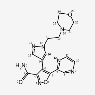 NC(=O)c1noc(-c2cnccn2)c1-c1cnn(CCN2CCOCC2)c1